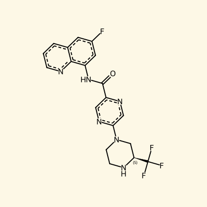 O=C(Nc1cc(F)cc2cccnc12)c1cnc(N2CCN[C@H](C(F)(F)F)C2)cn1